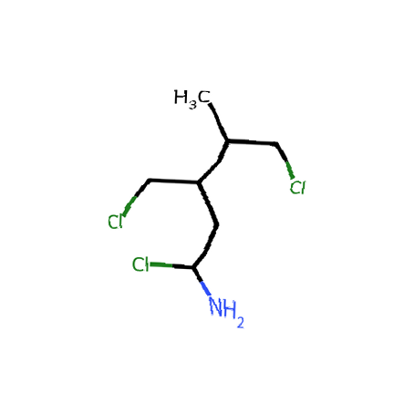 CC(CCl)C(CCl)CC(N)Cl